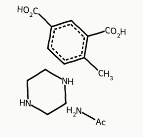 C1CNCCN1.CC(N)=O.Cc1ccc(C(=O)O)cc1C(=O)O